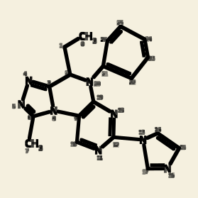 CCC1c2nnc(C)n2-c2cnc(-n3ccnc3)nc2N1c1ccccc1